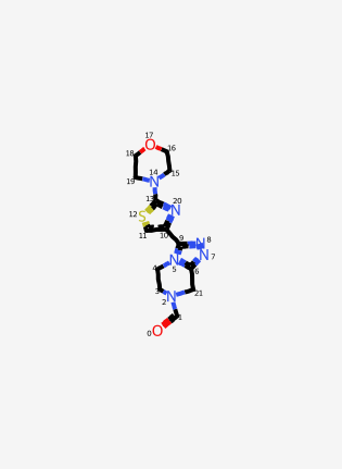 O=CN1CCn2c(nnc2-c2csc(N3CCOCC3)n2)C1